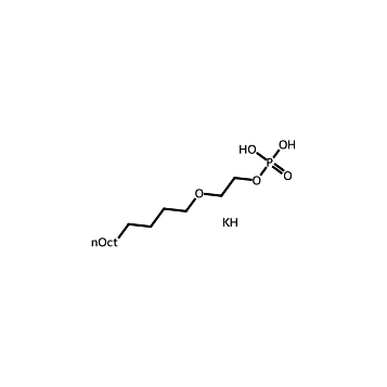 CCCCCCCCCCCCOCCOP(=O)(O)O.[KH]